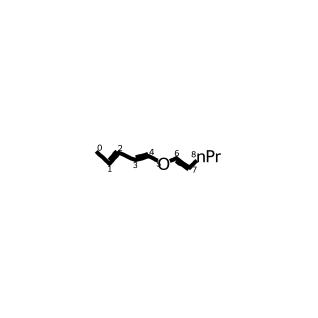 CC=CC=COC=CCCC